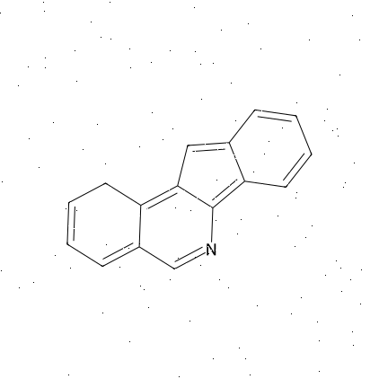 C1=CCc2c3c(ncc2=C1)=c1ccccc1=C3